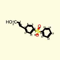 O=C(O)C=Cc1ccc(S(=O)(=O)c2ccccc2)cc1